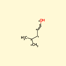 CC(C)C/C=C/O